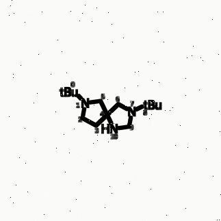 CC(C)(C)N1CCC2(C1)CN(C(C)(C)C)CN2